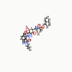 COc1cc(C#N)c(O[C@H]2CC[C@@](C)(C(=O)OCc3cccc4ccccc34)CC2)cc1C(=O)N[C@H]1[C@@H](C(=O)NCC2(C)CCC2)[C@@H]2C=C[C@H]1C2